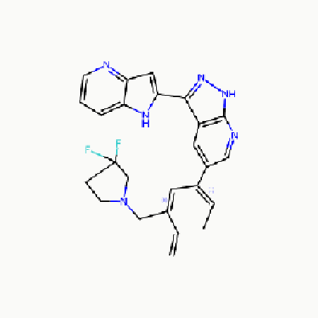 C=C/C(=C\C(=C/C)c1cnc2[nH]nc(-c3cc4ncccc4[nH]3)c2c1)CN1CCC(F)(F)C1